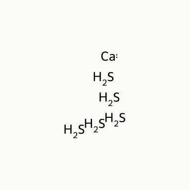 S.S.S.S.S.[Ca]